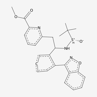 COC(=O)c1cccc(CC(N[S@@+]([O-])C(C)(C)C)c2ccccc2-c2noc3ccccc23)n1